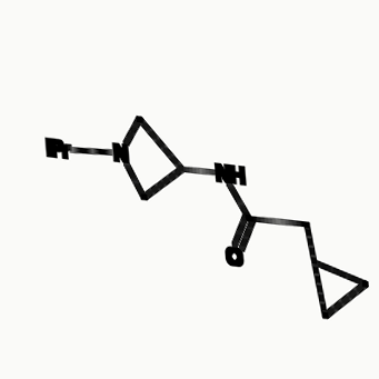 CC(C)N1CC(NC(=O)CC2CC2)C1